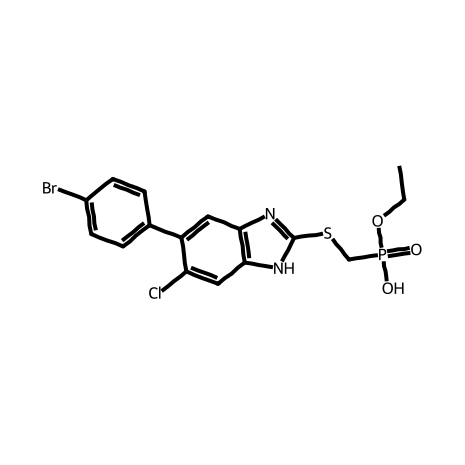 CCOP(=O)(O)CSc1nc2cc(-c3ccc(Br)cc3)c(Cl)cc2[nH]1